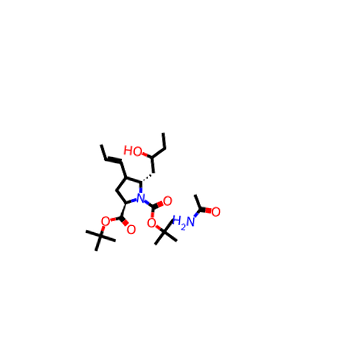 CC(N)=O.CC=CC1C[C@H](C(=O)OC(C)(C)C)N(C(=O)OC(C)(C)C)[C@H]1CC(O)CC